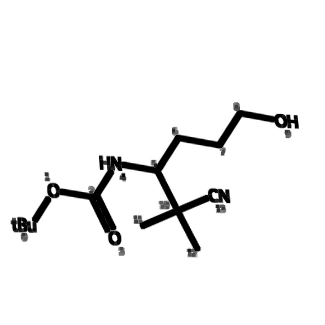 CC(C)(C)OC(=O)NC(CCCO)C(C)(C)C#N